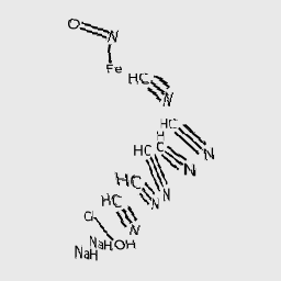 C#N.C#N.C#N.C#N.C#N.C#N.O=[N][Fe].OCl.[NaH].[NaH]